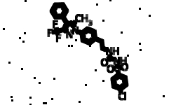 Cc1c(-c2ccccc2)c(C(F)(F)F)nn1-c1ccc(CCNC(=O)NS(=O)(=O)c2ccc(Cl)cc2)cc1